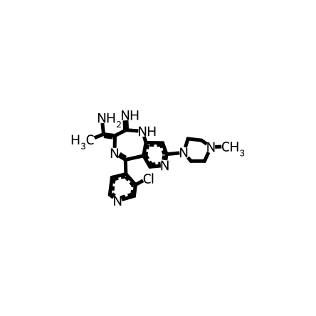 C/C(N)=C1\N=C(c2ccncc2Cl)c2cnc(N3CCN(C)CC3)cc2NC1=N